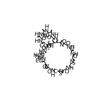 C=C(NC(=O)C(=C)NC(=O)C(=C)NC(=O)C(=C)NC(=O)c1cc2c(cn1)-c1coc(n1)C(=O)NC(=O)C(=C)NC(=O)c1csc(n1)C(C)NC(=O)c1csc(n1)CNC(=O)c1coc(n1)/C(=C/CC)NC(O)C(C(C)O)NC(=O)c1csc-2n1)C(=O)O